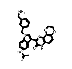 CC(=O)O.NCc1cccc(Cn2cc(-c3nc4c5c(ccc4[nH]c3=O)OCCO5)c3ccccc32)c1